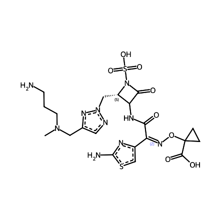 CN(CCCN)Cc1cnn(C[C@H]2C(NC(=O)/C(=N\OC3(C(=O)O)CC3)c3csc(N)n3)C(=O)N2S(=O)(=O)O)n1